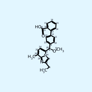 CCc1cn2c([C@H](OC)c3ccc(-c4ccccc4C(=O)O)cc3)ccc(C)c2n1